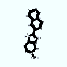 CCCCN1C=Cc2[nH]c(-c3ccc4ccccc4c3)nc2C1